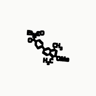 CC[N+](=C=O)C(=O)c1ccc(-c2ccc3c(C)c(OC)cc(C)c3c2)cc1